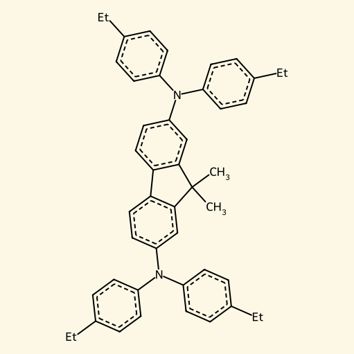 CCc1ccc(N(c2ccc(CC)cc2)c2ccc3c(c2)C(C)(C)c2cc(N(c4ccc(CC)cc4)c4ccc(CC)cc4)ccc2-3)cc1